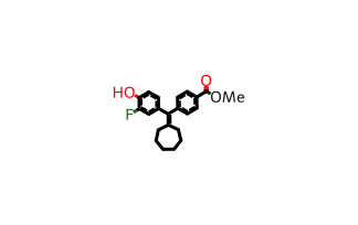 COC(=O)c1ccc(C(=C2CCCCCC2)c2ccc(O)c(F)c2)cc1